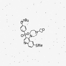 CCCCOc1ccc(S(=O)(=O)c2cnc3ccc(SC)cc3c2N2CCCN(C3COC3)CC2)cc1